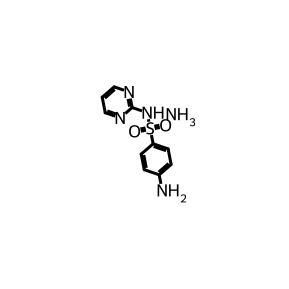 N.Nc1ccc(S(=O)(=O)Nc2ncccn2)cc1